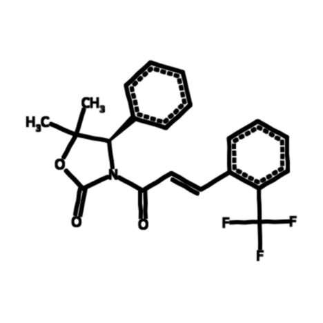 CC1(C)OC(=O)N(C(=O)/C=C/c2ccccc2C(F)(F)F)[C@@H]1c1ccccc1